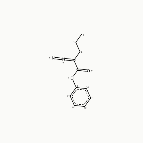 CCCC(=[N+]=[N-])C(=O)Oc1ccccc1